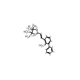 Cc1c(C=CB2OC(C)(C)C(C)(C)O2)cccc1-c1ccccc1